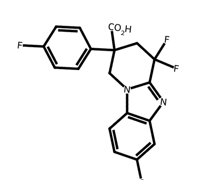 Cc1ccc2c(c1)nc1n2CC(C(=O)O)(c2ccc(F)cc2)CC1(F)F